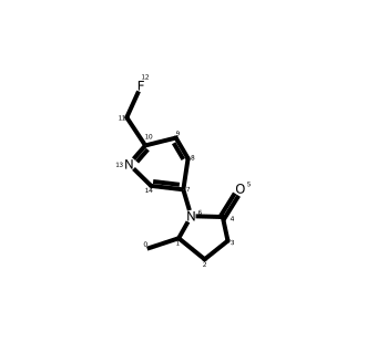 CC1CCC(=O)N1c1ccc(CF)nc1